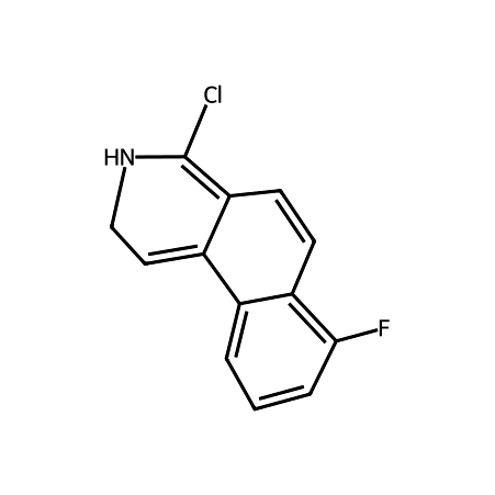 Fc1cccc2c3c(ccc12)=C(Cl)NCC=3